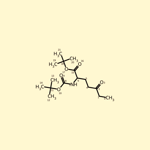 CCC(=O)CCC(NC(=O)OC(C)(C)C)C(=O)OC(C)(C)C